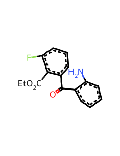 CCOC(=O)c1c(F)cccc1C(=O)c1ccccc1N